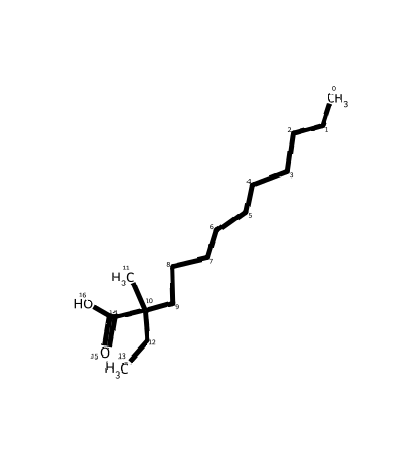 CCCCCCCCCCC(C)(CC)C(=O)O